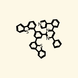 c1ccc(-c2cc(-c3ccccc3-c3ccncc3)nc(-c3cc(-c4cccc5c4sc4ccccc45)cc(-c4cccc5c4sc4ccccc45)c3)n2)cc1